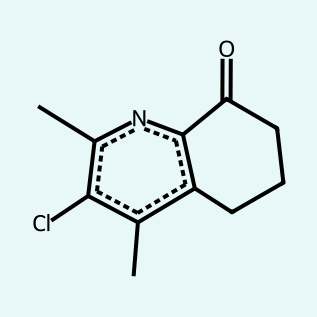 Cc1nc2c(c(C)c1Cl)CCCC2=O